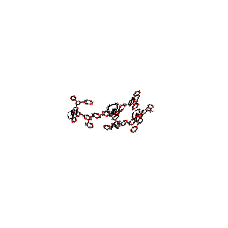 CC1(C)c2ccccc2-c2cc3c(cc21)c1ccc(-c2ccccc2)c2c4ccc(-c5ccc(-c6cc(-c7cc8c9cc(-c%10ccc(-c%11cc(-c%12ccccc%12)cc(-c%12cc%13c%14ccccc%14c(=O)n%14c%15ccc(-c%16cc(-c%17ccccc%17)cc(-c%17ccccc%17)c%16)cc%15c(c%12)c%13%14)c%11)cc%10)ccc9c(=O)n9c%10ccc(-c%11cc(-c%12ccccc%12)nc(-c%12ccccc%12)c%11)cc%10c(c7)c89)cc(-c7ccccc7)n6)cc5)cc4c(=O)n3c12